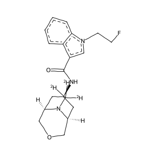 [2H]C([2H])([2H])N1[C@@H]2COC[C@H]1C[C@@H](NC(=O)c1cn(CCF)c3ccccc13)C2